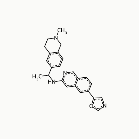 CC(Nc1cc2cc(-c3cnco3)ccc2cn1)c1ccc2c(c1)CCN(C)C2